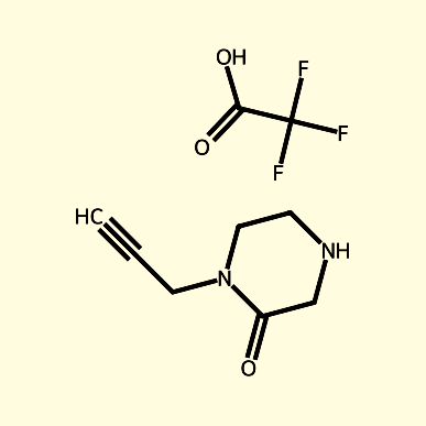 C#CCN1CCNCC1=O.O=C(O)C(F)(F)F